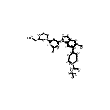 Cc1nc(N2CCO[C@H](CO)C2)cc(-n2ncc3cc(C)c(C4CCN(C(=O)OC(C)(C)C)CC4)cc32)n1